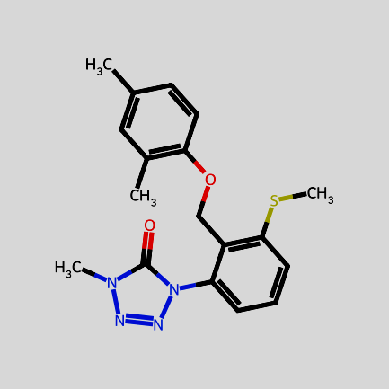 CSc1cccc(-n2nnn(C)c2=O)c1COc1ccc(C)cc1C